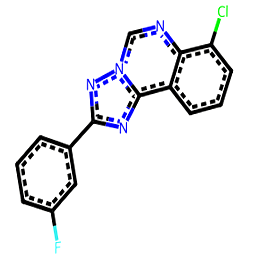 Fc1cccc(-c2nc3c4cccc(Cl)c4ncn3n2)c1